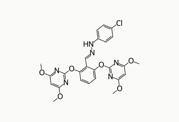 COc1cc(OC)nc(Oc2cccc(Oc3nc(OC)cc(OC)n3)c2C=NNc2ccc(Cl)cc2)n1